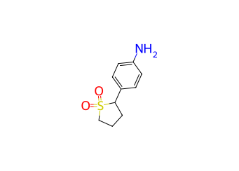 Nc1ccc(C2CCCS2(=O)=O)cc1